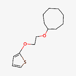 c1csc(OCCOC2CCCCCCC2)c1